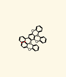 c1ccc(-c2cc3c4c(c2B2c5ccccc5Oc5ccccc52)Oc2ccccc2B4c2ccccc2O3)cc1